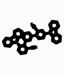 N#Cc1cc(-n2c3ccccc3c3ccccc32)ccc1-c1cccc(-c2c(C#N)cccc2-n2c3ccccc3c3ccccc32)c1